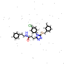 Cc1cccc(CSc2nnc(CCC(=O)NCCc3ccccc3)n2-c2ccc(Cl)cc2)c1